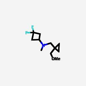 COCC1(CN(C)C2CC(F)(F)C2)CC1